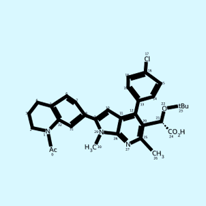 CC(=O)N1CCCc2ccc(-c3cc4c(-c5ccc(Cl)cc5)c([C@H](OC(C)(C)C)C(=O)O)c(C)nc4n3C)cc21